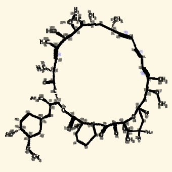 [2H]C1([2H])C[C@H]2C[C@H](OC)/C(C)=C/C=C/C=C/[C@@H](C)C[C@@H](C)C(=C)[C@H](OC)[C@H](O)/C(C)=C/[C@@H](C)C(=O)C[C@@H]([C@H](C)C[C@@H]3CC[C@@H](O)[C@H](OC)C3)OC(=O)[C@@H]3CCCCN3C(=O)C(=O)[C@](O)(O2)[C@@H]1C